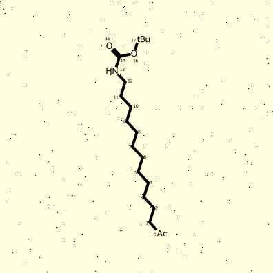 CC(=O)CCCCCCCCCCCCNC(=O)OC(C)(C)C